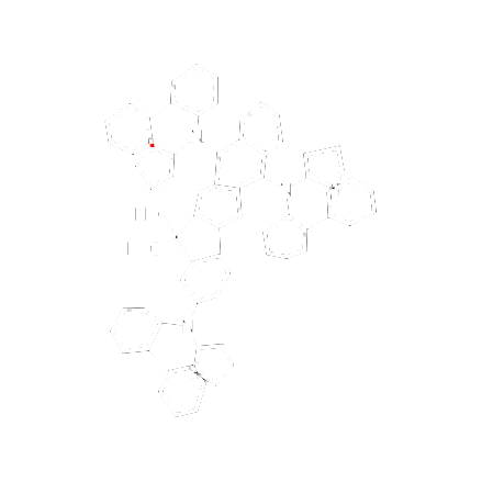 CC1(C)c2cc(N(c3cccs3)c3ccccc3-c3ccccc3)ccc2-c2cc3c(N(c4cccs4)c4ccccc4-c4ccccc4)c4ccccc4c(N(c4cccs4)c4ccccc4-c4ccccc4)c3cc21